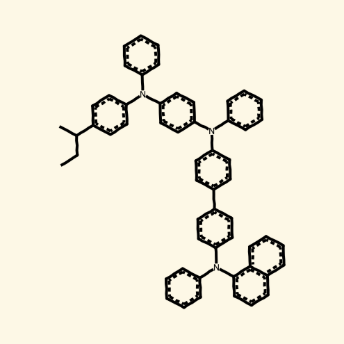 CCC(C)c1ccc(N(c2ccccc2)c2ccc(N(c3ccccc3)c3ccc(-c4ccc(N(c5ccccc5)c5cccc6ccccc56)cc4)cc3)cc2)cc1